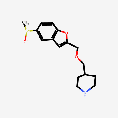 C[S+]([O-])c1ccc2oc(COCC3CCNCC3)cc2c1